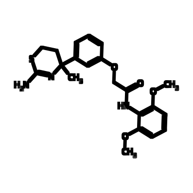 COc1cccc(OC)c1NC(=O)COc1cccc(C2(C)CCSC(N)=N2)c1